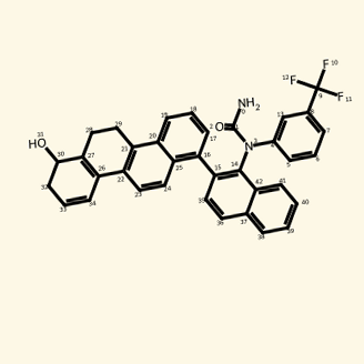 NC(=O)N(c1cccc(C(F)(F)F)c1)c1c(-c2cccc3c4c(ccc23)C2=C(CC4)C(O)CC=C2)ccc2ccccc12